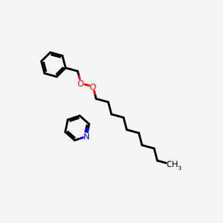 CCCCCCCCCCOOCc1ccccc1.c1ccncc1